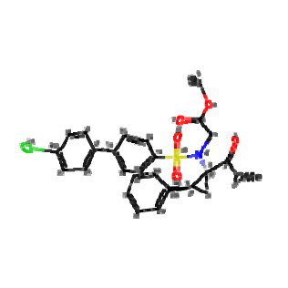 COC(=O)[C@@]1(N(CC(=O)OC(C)(C)C)S(=O)(=O)c2ccc(-c3ccc(Cl)cc3)cc2)C[C@H]1c1ccccc1